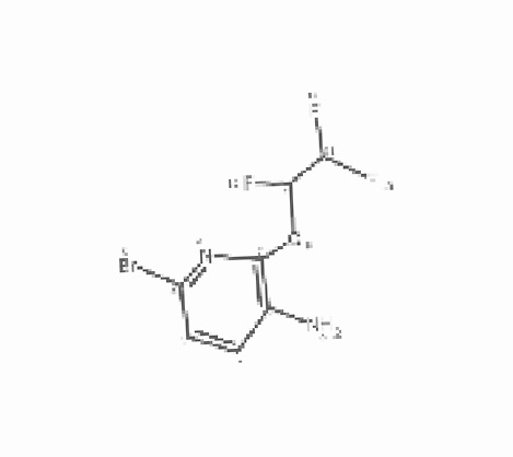 Nc1ccc(Br)nc1OC(F)C(F)F